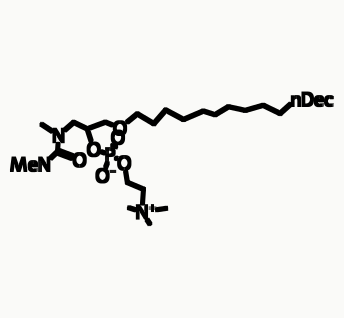 CCCCCCCCCCCCCCCCCCCCOCC(CN(C)C(=O)NC)OP(=O)([O-])OCC[N+](C)(C)C